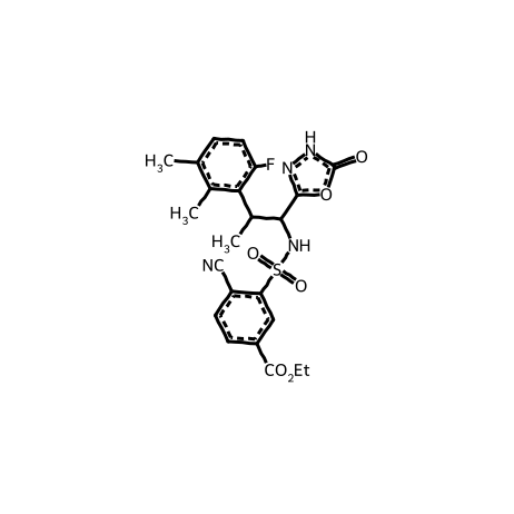 CCOC(=O)c1ccc(C#N)c(S(=O)(=O)NC(c2n[nH]c(=O)o2)C(C)c2c(F)ccc(C)c2C)c1